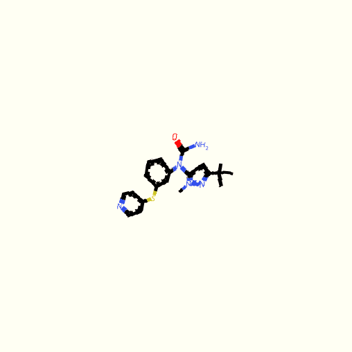 Cn1nc(C(C)(C)C)cc1N(C(N)=O)c1cccc(Sc2ccncc2)c1